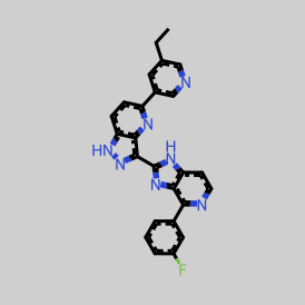 CCc1cncc(-c2ccc3[nH]nc(-c4nc5c(-c6cccc(F)c6)nccc5[nH]4)c3n2)c1